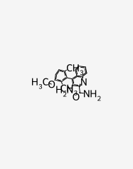 COc1ccc(C)c(-c2c(N)c(C(N)=O)nc3ccccc23)c1C